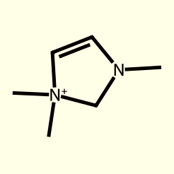 CN1C=C[N+](C)(C)C1